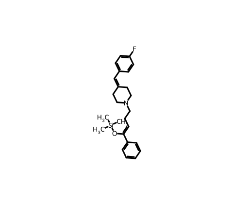 C[Si](C)(C)OC(=CCCN1CCC(=Cc2ccc(F)cc2)CC1)c1ccccc1